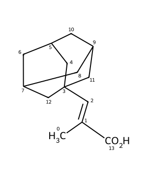 CC(=CC12CC3CC(CC(C3)C1)C2)C(=O)O